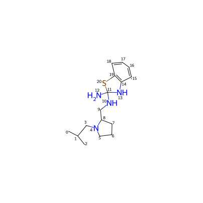 CC(C)CN1CCCC1CNC1(N)Nc2[c]cccc2S1